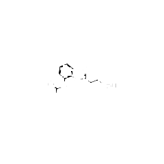 CCC(=O)Oc1ccccc1OC(=O)CCC(C)(C)C